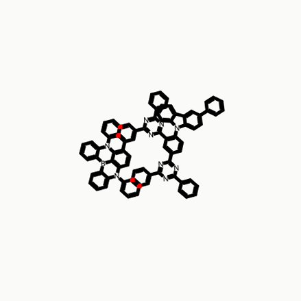 c1ccc(-c2ccc3c(c2)c2ccccc2n3-c2ccc(-c3nc(-c4ccccc4)nc(-c4ccccc4)n3)cc2-c2nc(-c3ccccc3)nc(-c3cccc(-c4ccc5c6c4N(c4ccccc4)c4ccccc4B6c4ccccc4N5c4ccccc4)c3)n2)cc1